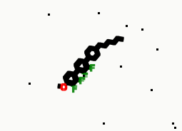 CCCCCCC1CCC(c2ccc(-c3ccc(OC)c(F)c3F)c(F)c2F)CC1